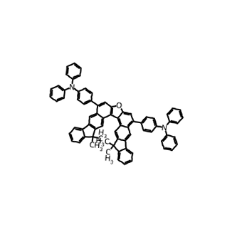 CC1(C)c2ccccc2-c2cc3c(-c4ccc(N(c5ccccc5)c5ccccc5)cc4)cc4oc5cc(-c6ccc(N(c7ccccc7)c7ccccc7)cc6)c6cc7c(cc6c5c4c3cc21)C(C)(C)c1ccccc1-7